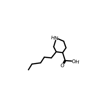 CCCCCC1CNCCC1C(=O)O